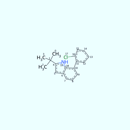 CC(C)(C)c1cc2cccc(-c3ccccc3Cl)c2[nH]1